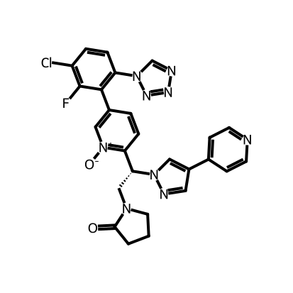 O=C1CCCN1C[C@H](c1ccc(-c2c(-n3cnnn3)ccc(Cl)c2F)c[n+]1[O-])n1cc(-c2ccncc2)cn1